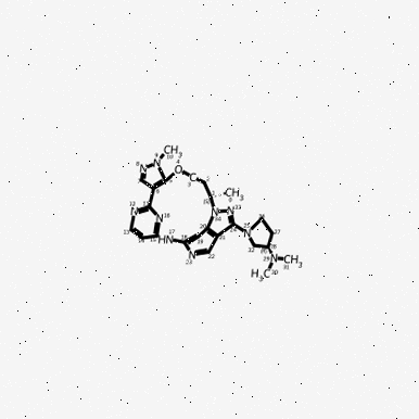 C[C@H]1CCOc2c(cnn2C)-c2nccc(n2)Nc2cc3c(cn2)c(N2CC[C@@H](N(C)C)C2)nn31